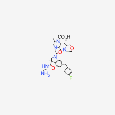 CC1COCCN1CC1CN(C(=O)O)C(C)CN1CC(=O)N1CC(C)(C(=O)NCCN)c2ccc(Cc3ccc(F)cc3)cc21